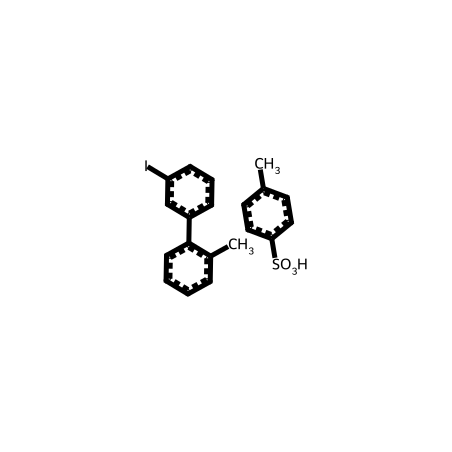 Cc1ccc(S(=O)(=O)O)cc1.Cc1ccccc1-c1cccc(I)c1